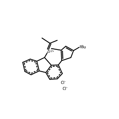 C[C](C)=[Zr+2][CH]1c2ccccc2-c2cccc(C3=C(C)C=C(C(C)(C)C)C3)c21.[Cl-].[Cl-]